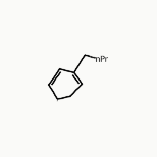 CCCCC1=CC[CH]C=C1